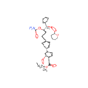 CC1(C)OC(=O)c2ccc(-c3ccc(CCC(OC(N)=O)[C@H](OC4CCCCO4)c4ccccc4)cc3)cc2O1